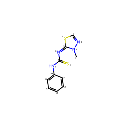 Cn1ncsc1=NC(=S)Nc1ccccc1